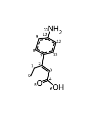 CCC(=CC(=O)O)c1ccc(N)cc1